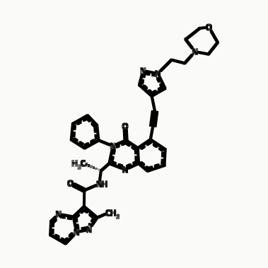 Cc1nn2cccnc2c1C(=O)N[C@H](C)c1nc2cccc(C#Cc3cnn(CCN4CCOCC4)c3)c2c(=O)n1-c1ccccc1